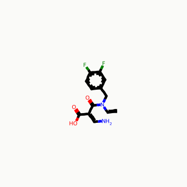 C=CN(Cc1ccc(F)c(F)c1)C(=O)/C(=C\N)C(=O)O